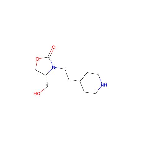 O=C1OC[C@@H](CO)N1CCC1CCNCC1